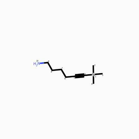 C[Si](C)(C)C#CCCCCN